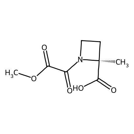 COC(=O)C(=O)N1CC[C@@]1(C)C(=O)O